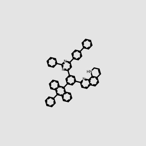 C1=Cc2ccc3ccc(-c4cc(-c5cc(-c6ccc(-c7ccccc7)cc6)nc(-c6ccccc6)n5)cc(-c5c6ccccc6c(-c6ccccc6)c6ccccc56)c4)nc3c2NC1